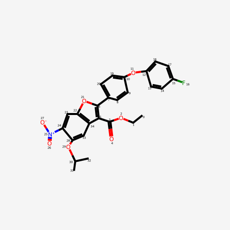 CCOC(=O)c1c(-c2ccc(Oc3ccc(F)cc3)cc2)oc2cc([N+](=O)[O-])c(OC(C)C)cc12